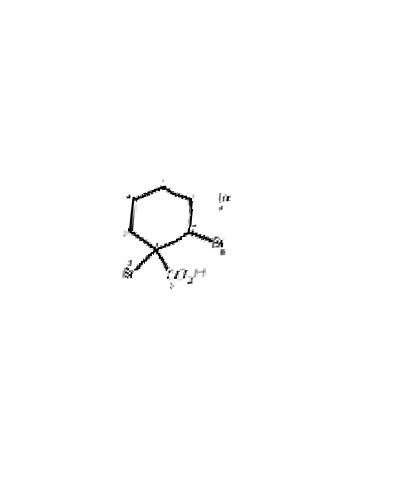 O=C(O)C1(Br)CCCCC1Br.[In]